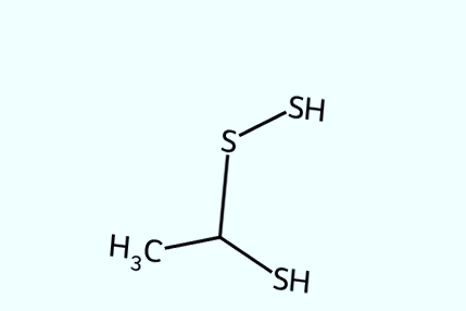 CC(S)SS